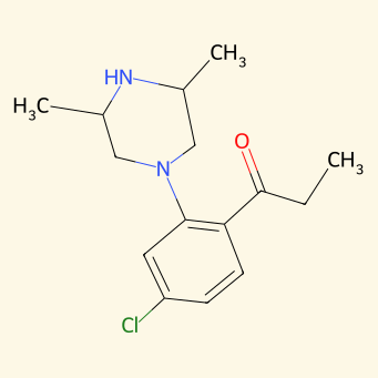 CCC(=O)c1ccc(Cl)cc1N1CC(C)NC(C)C1